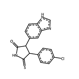 O=C1NC(=S)C(c2ccc(Cl)cc2)C1c1ccc2[nH]cnc2c1